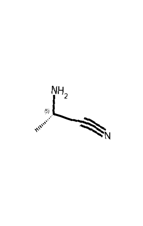 C[C@H](N)C#N